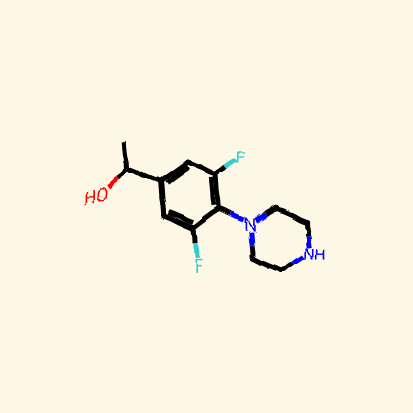 CC(O)c1cc(F)c(N2CCNCC2)c(F)c1